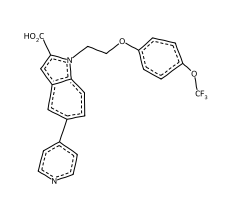 O=C(O)c1cc2cc(-c3ccncc3)ccc2n1CCOc1ccc(OC(F)(F)F)cc1